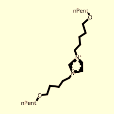 CCCCCOCCCCCn1cc[n+](CCCCCOCCCCC)c1